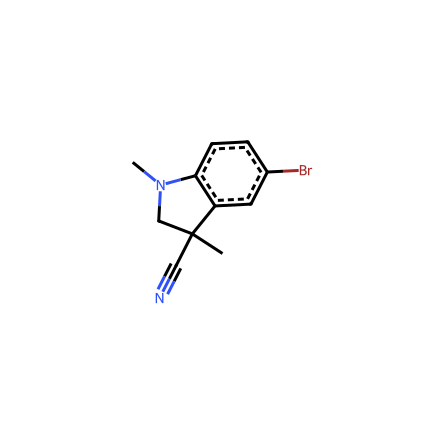 CN1CC(C)(C#N)c2cc(Br)ccc21